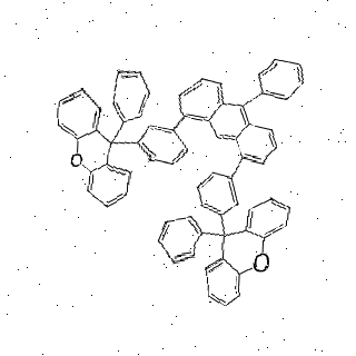 c1ccc(-c2c3cccc(-c4cccc(C5(c6ccccc6)c6ccccc6Oc6ccccc65)c4)c3cc3c(-c4cccc(C5(c6ccccc6)c6ccccc6Oc6ccccc65)c4)cccc23)cc1